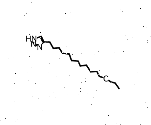 CCCCCCCCCCCCCCCCc1c[nH]nn1